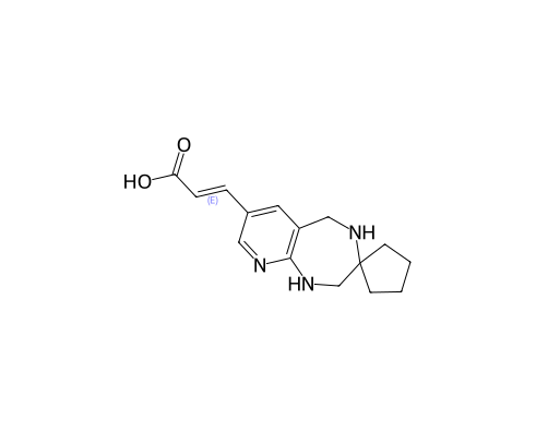 O=C(O)/C=C/c1cnc2c(c1)CNC1(CCCC1)CN2